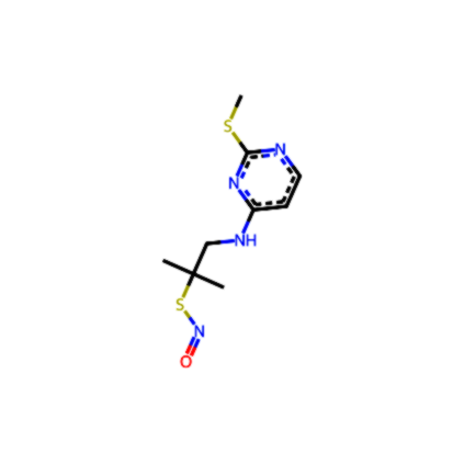 CSc1nccc(NCC(C)(C)SN=O)n1